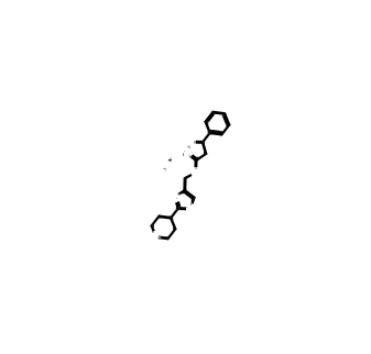 CC(C)(C)OC=O.c1ccc(C2CC(SCc3csc(C4CCNCC4)n3)=NO2)cc1